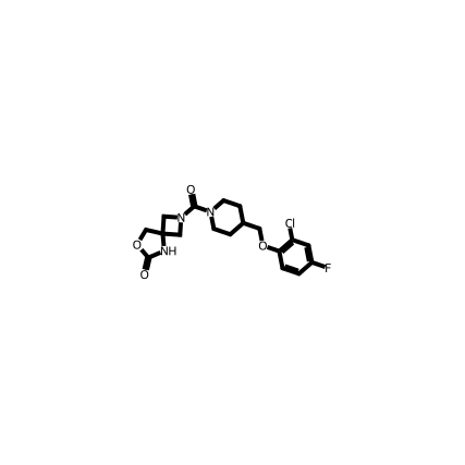 O=C1NC2(CO1)CN(C(=O)N1CCC(COc3ccc(F)cc3Cl)CC1)C2